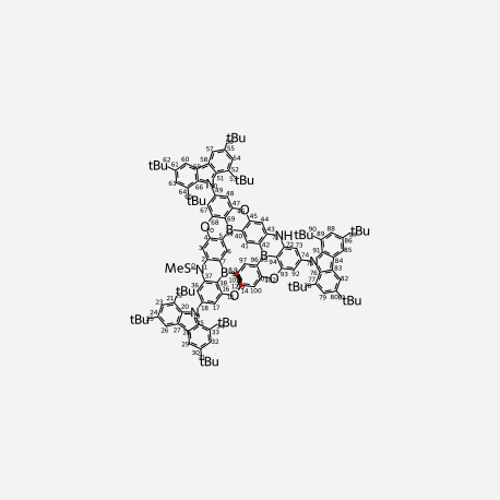 CSN1c2cc3c(cc2B2c4ccccc4Oc4cc(-n5c6c(C(C)(C)C)cc(C(C)(C)C)cc6c6cc(C(C)(C)C)cc(C(C)(C)C)c65)cc1c42)B1c2cc4c(cc2Oc2cc(-n5c6c(C(C)(C)C)cc(C(C)(C)C)cc6c6cc(C(C)(C)C)cc(C(C)(C)C)c65)cc(c21)O3)Nc1cc(-n2c3c(C(C)(C)C)cc(C(C)(C)C)cc3c3cc(C(C)(C)C)cc(C(C)(C)C)c32)cc2c1B4c1ccccc1O2